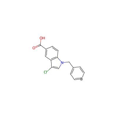 O=C(O)c1ccc2c(c1)c(Cl)cn2Cc1ccbcc1